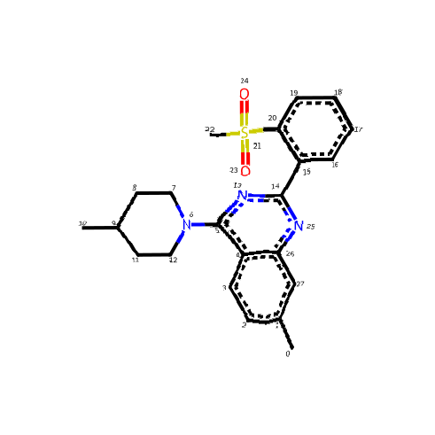 Cc1ccc2c(N3CCC(C)CC3)nc(-c3ccccc3S(C)(=O)=O)nc2c1